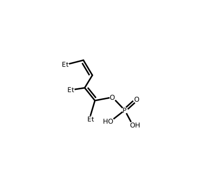 CC/C=C\C(CC)=C(\CC)OP(=O)(O)O